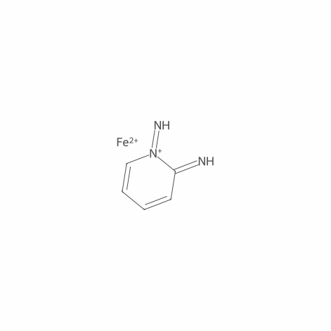 N=C1C=CC=C[N+]1=N.[Fe+2]